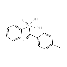 Cc1ccc(C(=O)S(=O)(O)(O)c2ccccc2)cc1